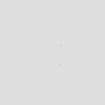 Cc1c(Cl)cccc1NC=O